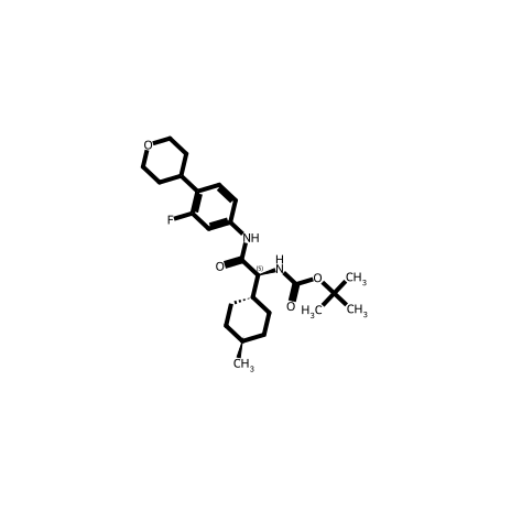 CC(C)(C)OC(=O)N[C@H](C(=O)Nc1ccc(C2CCOCC2)c(F)c1)[C@H]1CC[C@H](C)CC1